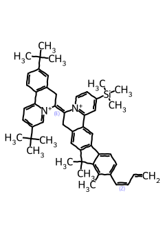 C=C/C=C\c1ccc2c(c1C)C(C)(C)c1cc3c(cc1-2)-c1cc([Si](C)(C)C)cc[n+]1/C(=C1\Cc2cc(C(C)(C)C)ccc2-c2ccc(C(C)(C)C)c[n+]21)C3